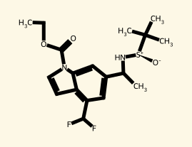 CCOC(=O)n1ccc2c(C(F)F)cc(C(C)N[S@+]([O-])C(C)(C)C)cc21